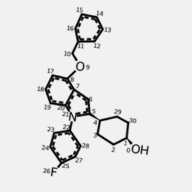 O[C@H]1CC[C@@H](c2cc3c(OCc4ccccc4)cccc3n2-c2ccc(F)cc2)CC1